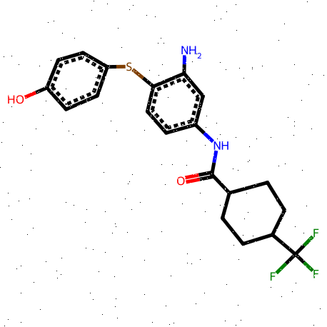 Nc1cc(NC(=O)C2CCC(C(F)(F)F)CC2)ccc1Sc1ccc(O)cc1